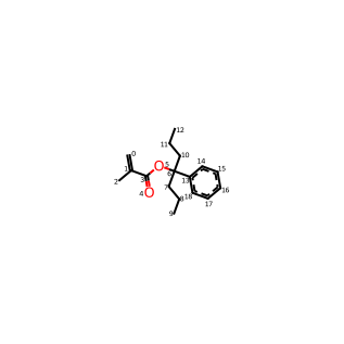 C=C(C)C(=O)OC(CCC)(CCC)c1ccccc1